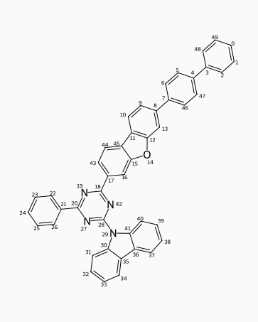 c1ccc(-c2ccc(-c3ccc4c(c3)oc3cc(-c5nc(-c6ccccc6)nc(-n6c7ccccc7c7ccccc76)n5)ccc34)cc2)cc1